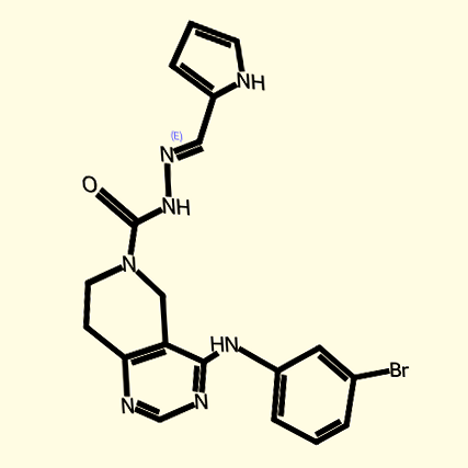 O=C(N/N=C/c1ccc[nH]1)N1CCc2ncnc(Nc3cccc(Br)c3)c2C1